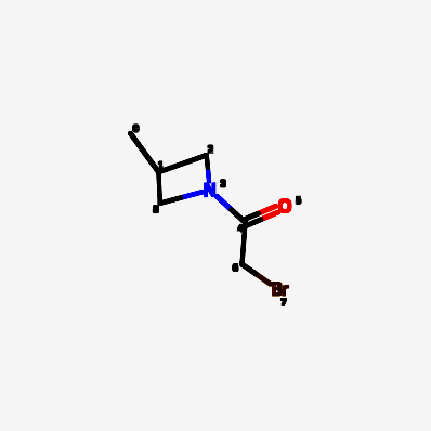 CC1CN(C(=O)CBr)C1